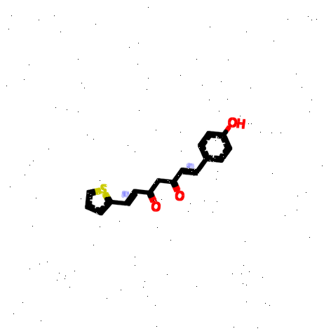 O=C(/C=C/c1ccc(O)cc1)CC(=O)/C=C/c1cccs1